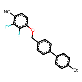 CCc1ccc(-c2ccc(COc3ccc(C#N)c(F)c3F)cc2)cc1